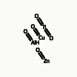 [O]=[AlH].[O]=[Cu].[O]=[Ti]=[O].[O]=[Zn]